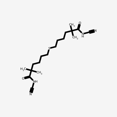 CC(C)(CCCCSCCCCC(C)(C)C(=O)NC#N)C(=O)NC#N